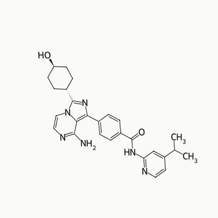 CC(C)c1ccnc(NC(=O)c2ccc(-c3nc([C@H]4CC[C@H](O)CC4)n4ccnc(N)c34)cc2)c1